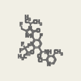 Cc1ccnc(Cl)c1NC(=O)c1cc(F)c(-n2nc(CF)n(C(C)C)c2=O)nc1O[C@@H](C)C(F)(F)F